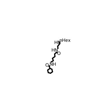 CCCCCCNCCCNC(=O)CCCCCNC(=O)C1CCCCC1